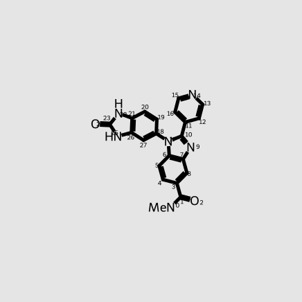 CNC(=O)c1ccc2c(c1)nc(-c1ccncc1)n2-c1ccc2[nH]c(=O)[nH]c2c1